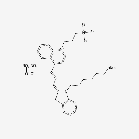 CCCCCCCCCCCCCCCCN1C(=CC=Cc2cc[n+](CCC[N+](CC)(CC)CC)c3ccccc23)Sc2ccccc21.O=[N+]([O-])[O-].O=[N+]([O-])[O-]